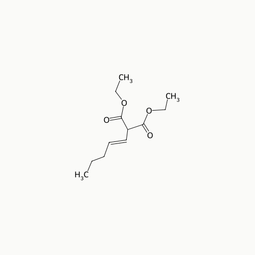 CCCC=CC(C(=O)OCC)C(=O)OCC